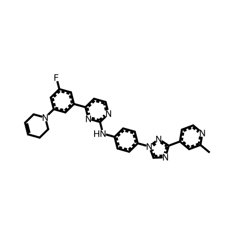 Cc1cc(-c2ncn(-c3ccc(Nc4nccc(-c5cc(F)cc(N6CC=CCC6)c5)n4)cc3)n2)ccn1